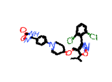 CC(C)c1onc(-c2c(Cl)cccc2Cl)c1COC1CCN(c2ccc(-c3noc(=O)[nH]3)cc2)CC1